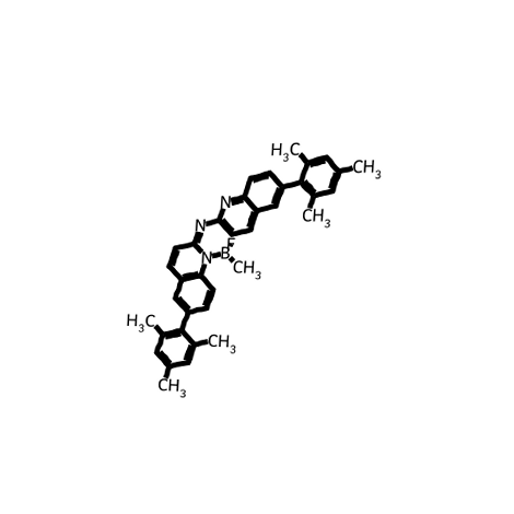 CB(F)n1/c(=N\c2ccc3cc(-c4c(C)cc(C)cc4C)ccc3n2)ccc2cc(-c3c(C)cc(C)cc3C)ccc21